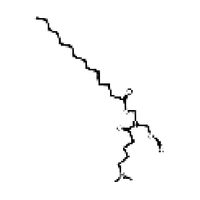 CCCCCCCCCCCCCC(=O)OCN(COC=O)C(=O)CCCCN(C)C